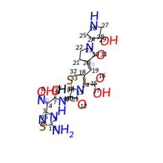 Nc1nc(/C(=N/O)C(=O)N[C@@H]2C(=O)N3C(C(=O)O)=C(/C=C4\CCN(C5CNCC5O)C4=O)CS[C@H]23)ns1